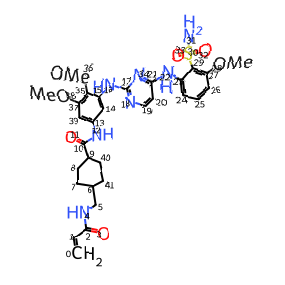 C=CC(=O)NCC1CCC(C(=O)Nc2cc(Nc3nccc(Nc4cccc(OC)c4S(N)(=O)=O)n3)c(OC)c(OC)c2)CC1